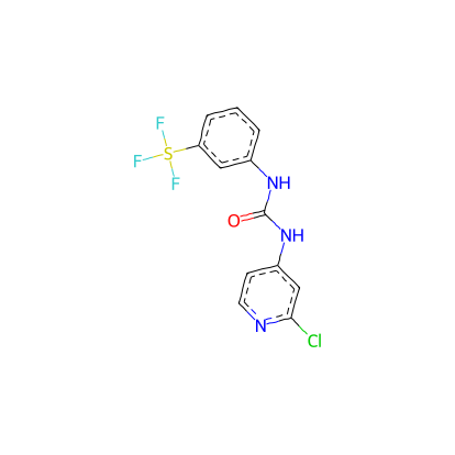 O=C(Nc1cccc(S(F)(F)F)c1)Nc1ccnc(Cl)c1